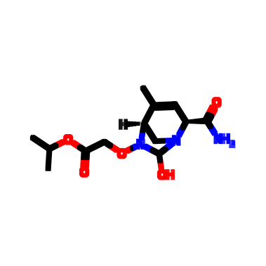 CC1=C[C@@H](C(N)=O)N2C[C@H]1N(OCC(=O)OC(C)C)C2O